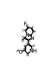 COC1=CC(c2nc3ccc(F)cn3c2C)=CNC1